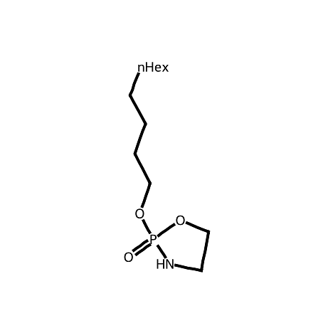 CCCCCCCCCCOP1(=O)NCCO1